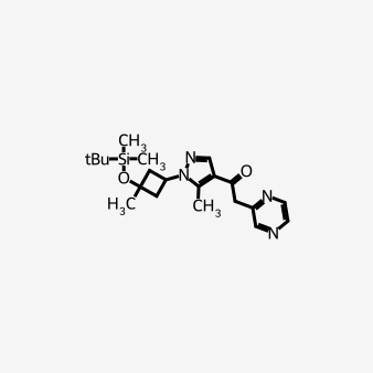 Cc1c(C(=O)Cc2cnccn2)cnn1C1CC(C)(O[Si](C)(C)C(C)(C)C)C1